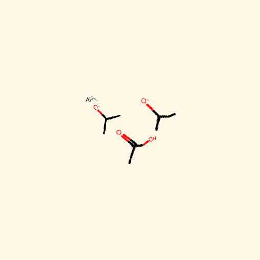 CC(=O)O.CC(C)[O-].CC(C)[O-].[Al+2]